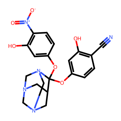 N#Cc1ccc(OC2(Oc3ccc([N+](=O)[O-])c(O)c3)C3CN4CN(C3)CN2C4)cc1O